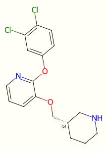 Clc1ccc(Oc2ncccc2OC[C@H]2CCCNC2)cc1Cl